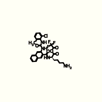 Cc1cccc(Cl)c1NC(=O)Nc1cc2ccccc2cc1C(=O)N[C@@H](CCCCN)C(=O)OC(=O)C(F)(F)F